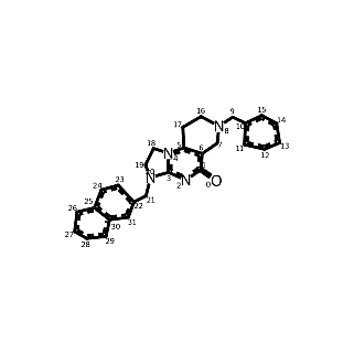 O=c1nc2n(c3c1CN(Cc1ccccc1)CC3)CCN2Cc1ccc2ccccc2c1